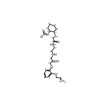 C=CCOc1ccccc1OCC(O)CNCCNC(=O)CSC1CCCCC1O[N+](=O)[O-]